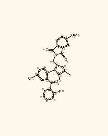 COc1ccc2c(c1)C(=O)N(Cc1cc(C)c(C)n1-c1ccc(Cl)cc1C(=O)c1ccccc1F)C2=O